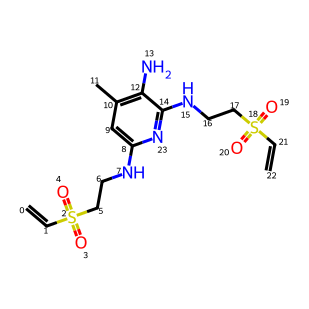 C=CS(=O)(=O)CCNc1cc(C)c(N)c(NCCS(=O)(=O)C=C)n1